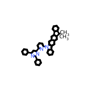 CC1(C)c2ccccc2-c2cc3cc4c(cc3cc21)c1ccccc1n4-c1cccc(-c2cc(-c3ccccc3)nc(-c3ccccc3)n2)n1